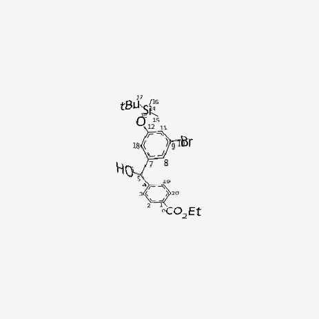 CCOC(=O)c1ccc(C(O)c2cc(Br)cc(O[Si](C)(C)C(C)(C)C)c2)cc1